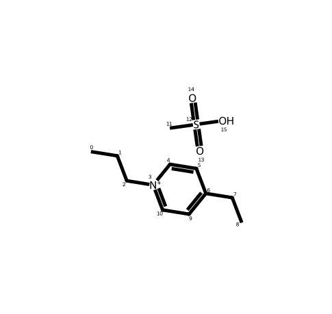 CCC[n+]1ccc(CC)cc1.CS(=O)(=O)O